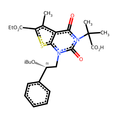 CCOC(=O)c1sc2c(c1C)c(=O)n(C(C)(C)C(=O)O)c(=O)n2C[C@@H](OCC(C)C)c1ccccc1